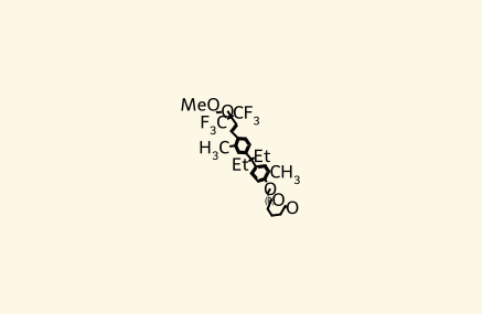 CCC(CC)(c1ccc(C=CC(OCOC)(C(F)(F)F)C(F)(F)F)c(C)c1)c1ccc(OC[C@H]2CCCC(=O)O2)c(C)c1